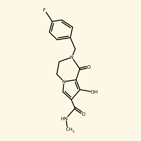 CNC(=O)c1cn2c(c1O)C(=O)N(Cc1ccc(F)cc1)CC2